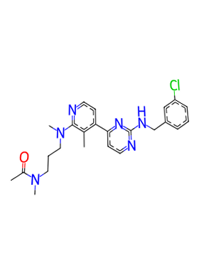 CC(=O)N(C)CCCN(C)c1nccc(-c2ccnc(NCc3cccc(Cl)c3)n2)c1C